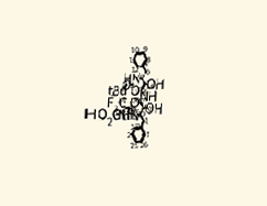 CC(C)(C)OC(=O)N[C@@H](Cc1ccccc1)C(O)CNC[C@@H](O)C(Cc1ccccc1)NC(=O)[C@H](NC(=O)O)C(F)(F)F